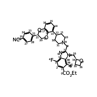 CCOC(=O)c1cc(F)c2nc(CN3CCC(c4cccc5c4OC[C@@H](c4ccc(C#N)cc4)O5)CC3)n(C[C@@H]3CCO3)c2c1F